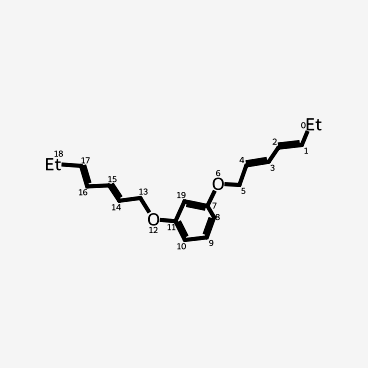 CCC=CC=CCOc1cccc(OCC=CC=CCC)c1